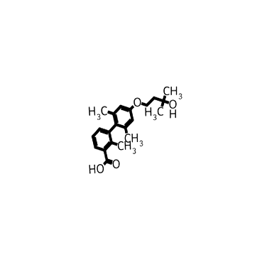 Cc1cc(OCCC(C)(C)O)cc(C)c1-c1cccc(C(=O)O)c1C